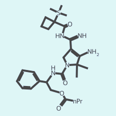 CCCC(=O)OCC(NC(=O)N1CC(C(=N)NC(=O)C2(S(C)(C)C)CCC2)=C(N)C1(C)C)c1ccccc1